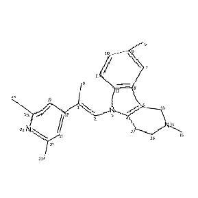 CC(=Cn1c2c(c3cc(C)ccc31)CN(C)CC2)c1cc(C)nc(C)c1